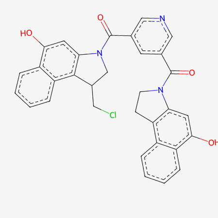 O=C(c1cncc(C(=O)N2CC(CCl)c3c2cc(O)c2ccccc32)c1)N1CCc2c1cc(O)c1ccccc21